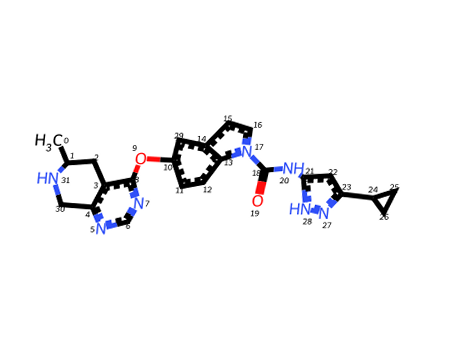 CC1Cc2c(ncnc2Oc2ccc3c(ccn3C(=O)Nc3cc(C4CC4)n[nH]3)c2)CN1